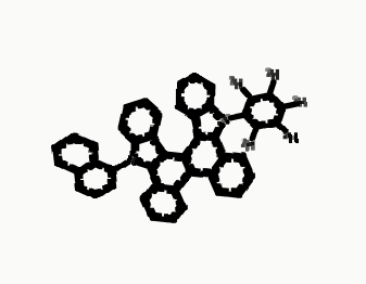 [2H]c1c([2H])c([2H])c(-n2c3ccccc3c3c4c(c5ccccc5c32)c2ccccc2c2c4c3ccccc3n2-c2cccc3ccccc23)c([2H])c1[2H]